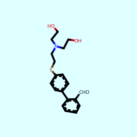 O=Cc1ccccc1-c1ccc(SCCN(CCO)CCO)cc1